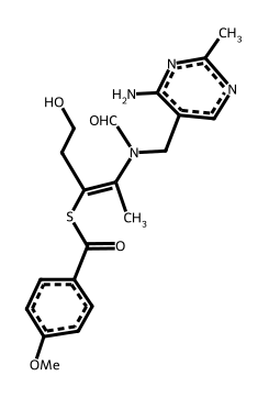 COc1ccc(C(=O)SC(CCO)=C(C)N(C=O)Cc2cnc(C)nc2N)cc1